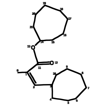 CC(=CC1CCCCCCC1)C(=O)OC1CCCCCCC1